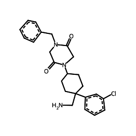 NCC1(c2cccc(Cl)c2)CCC(N2CC(=O)N(Cc3ccccc3)CC2=O)CC1